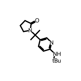 CC(C)(C)Nc1ccc(C(C)(C)N2CCCC2=O)cn1